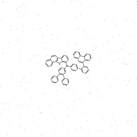 c1ccc(-c2ccc(N(c3ccc(-c4ccccc4-c4cc5ccccc5c5ccccc45)cc3)c3cccc4c3sc3c5ccccc5ccc43)cc2-c2ccccc2)cc1